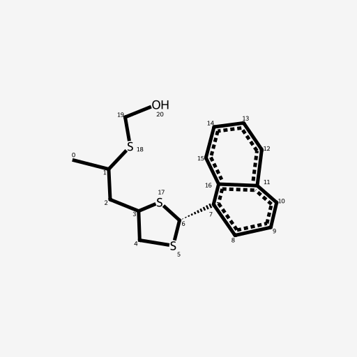 CC(CC1CS[C@@H](c2cccc3ccccc23)S1)SCO